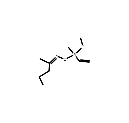 C=C[Si](C)(OC)ON=C(C)CCC